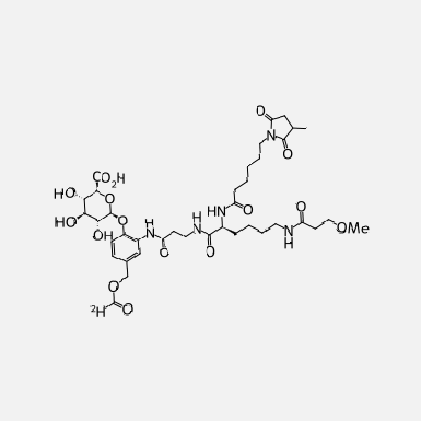 [2H]C(=O)OCc1ccc(O[C@@H]2O[C@H](C(=O)O)[C@@H](O)[C@H](O)[C@H]2O)c(NC(=O)CCNC(=O)[C@H](CCCCNC(=O)CCOC)NC(=O)CCCCCN2C(=O)CC(C)C2=O)c1